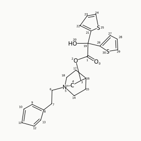 O=C(OC1C[N+]2(CCc3ccccc3)CCC1CC2)C(O)(c1cccs1)c1cccs1